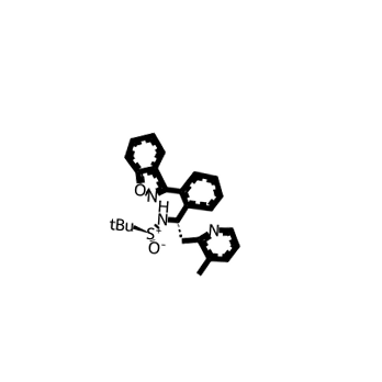 Cc1cccnc1C[C@H](N[S@@+]([O-])C(C)(C)C)c1ccccc1-c1noc2ccccc12